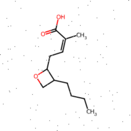 CCCCC1COC1CC=C(C)C(=O)O